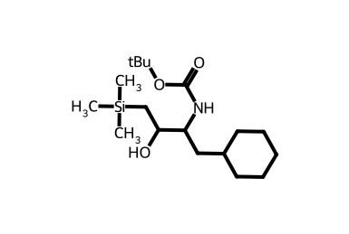 CC(C)(C)OC(=O)NC(CC1CCCCC1)C(O)C[Si](C)(C)C